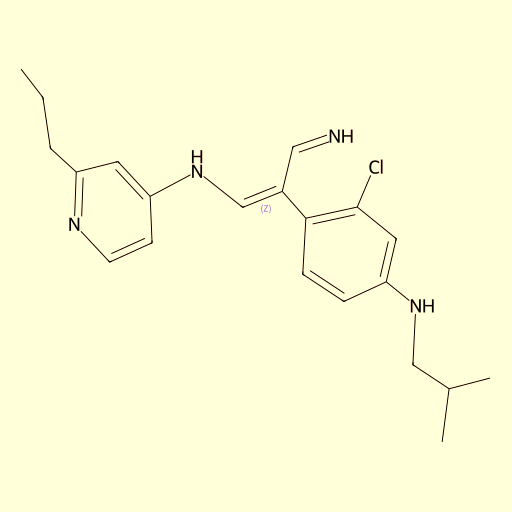 CCCc1cc(N/C=C(\C=N)c2ccc(NCC(C)C)cc2Cl)ccn1